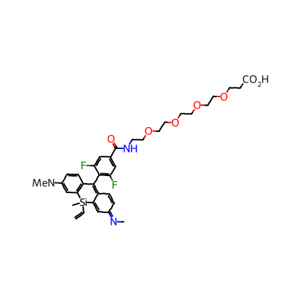 C=C[Si]1(C)C2=C/C(=N/C)C=CC2=C(c2c(F)cc(C(=O)NCCOCCOCCOCCOCCC(=O)O)cc2F)c2ccc(NC)cc21